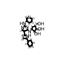 OC[C@H]1C[C@@H](Nc2nc(Nc3cccnc3)ncc2-c2nc(-c3ccccc3)cs2)[C@H](O)[C@@H]1O